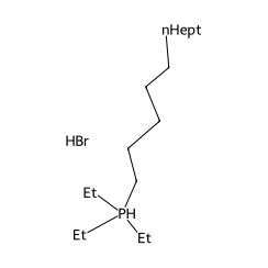 Br.CCCCCCCCCCCC[PH](CC)(CC)CC